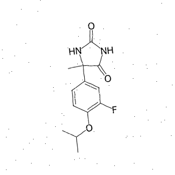 CC(C)Oc1ccc(C2(C)NC(=O)NC2=O)cc1F